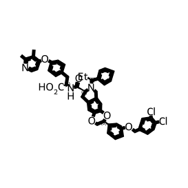 CC[C@@H](c1ccccc1)N1Cc2cc3c(cc2C[C@H]1C(=O)N[C@@H](Cc1ccc(Oc2ccnc(C)c2C)cc1)C(=O)O)OC[C@H](c1cccc(OCc2ccc(Cl)c(Cl)c2)c1)O3